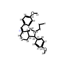 CCCN1N=C2/C(=C\c3ccc(OC)cc3)CSCC2C1c1ccc(OC)cc1